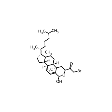 CC(C)CCC[C@@H](C)[C@H]1CC[C@H]2[C@@H]3CC=C4C(O)OC(C(=O)CBr)C[C@]4(C)[C@H]3CC[C@]12C